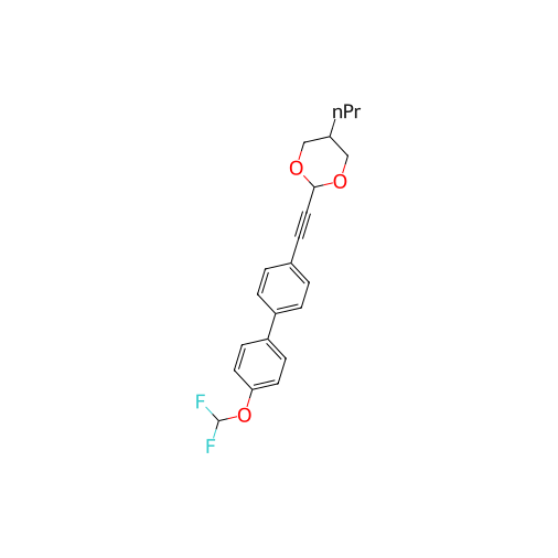 CCCC1COC(C#Cc2ccc(-c3ccc(OC(F)F)cc3)cc2)OC1